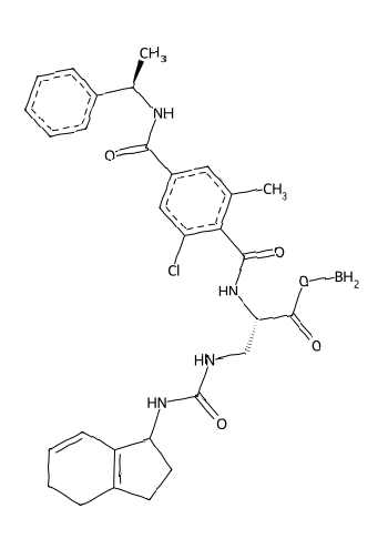 BOC(=O)[C@H](CNC(=O)NC1CCC2=C1C=CCC2)NC(=O)c1c(C)cc(C(=O)N[C@H](C)c2ccccc2)cc1Cl